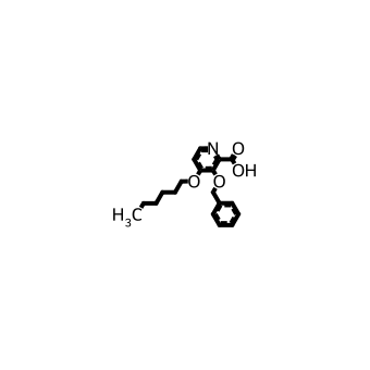 CCCCCCOc1ccnc(C(=O)O)c1OCc1ccccc1